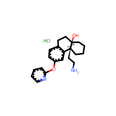 Cl.NCC[C@]12CCCC[C@@]1(O)CCc1ccc(Oc3ccccn3)cc12